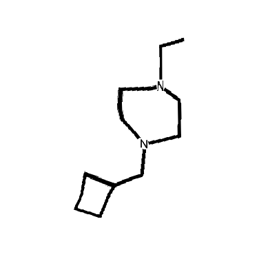 CCN1CCN(CC2CCC2)CC1